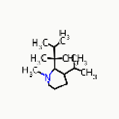 CC(C)C1CCCN(C)C1C(C)(C)C(C)C